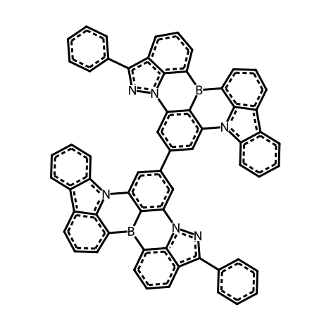 c1ccc(-c2nn3c4c(cccc24)B2c4c-3cc(-c3cc5c6c(c3)-n3c7ccccc7c7cccc(c73)B6c3cccc6c(-c7ccccc7)nn-5c36)cc4-n3c4ccccc4c4cccc2c43)cc1